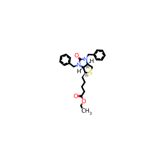 CCOC(=O)CCCC[C@@H]1SC[C@H]2[C@@H]1N(Cc1ccccc1)C(=O)N2Cc1ccccc1